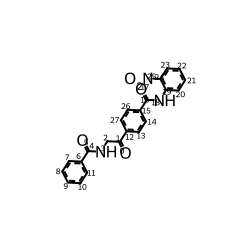 O=C(CNC(=O)c1ccccc1)c1ccc(C(=O)Nc2ccccc2[N+](=O)[O-])cc1